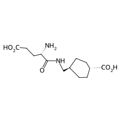 N[C@@H](CCC(=O)O)C(=O)NC[C@H]1CC[C@H](C(=O)O)CC1